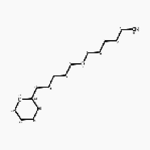 N#CCCCCCOCCCCCC1CCCCO1